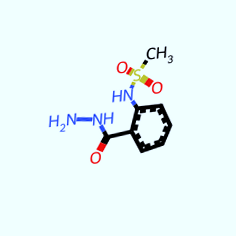 CS(=O)(=O)Nc1ccccc1C(=O)NN